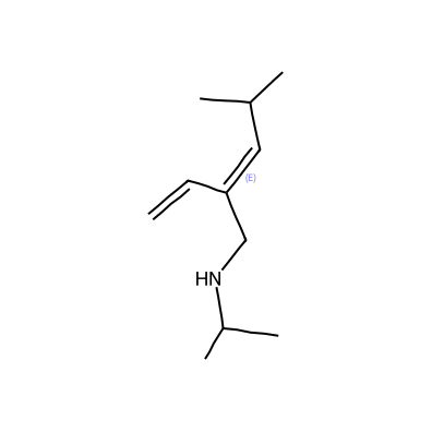 C=C/C(=C\C(C)C)CNC(C)C